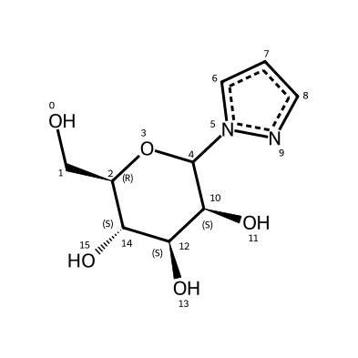 OC[C@H]1OC(n2cccn2)[C@@H](O)[C@@H](O)[C@@H]1O